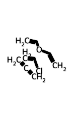 C=C=C.C=CCl.C=COC=C